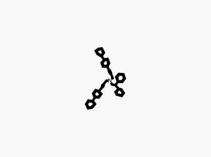 C(#Cc1ccc(-c2ccccc2)cc1)CN(CC#Cc1ccc(-c2ccccc2)cc1)CC(c1ccccc1)c1ccccc1